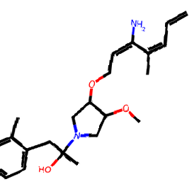 C=C/C=C(C)\C(N)=C/COC1CN(C(C)(O)Cc2ccccc2C)CC1OC